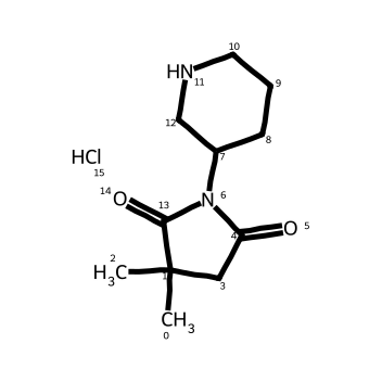 CC1(C)CC(=O)N(C2CCCNC2)C1=O.Cl